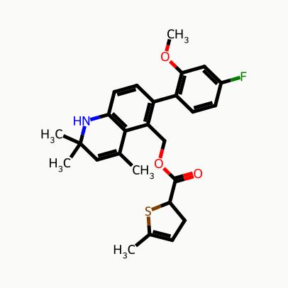 COc1cc(F)ccc1-c1ccc2c(c1COC(=O)C1CC=C(C)S1)C(C)=CC(C)(C)N2